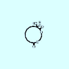 O=C1CCCCCCCC(O)(O)C(=O)OCCO1